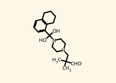 CC(C)([C]=O)CN1CCN(C(O)(O)c2cccc3c2CCCC3)CC1